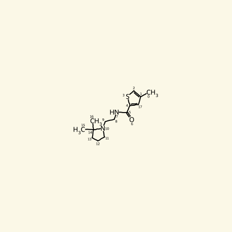 Cc1csc(C(=O)NCCN2CCCC2(C)C)c1